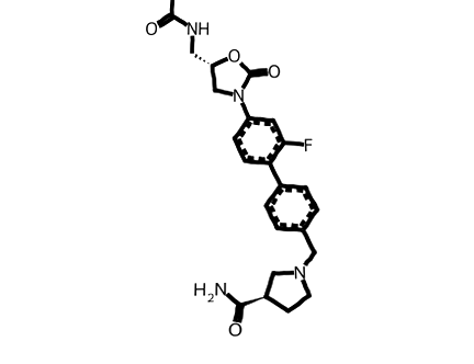 CC(=O)NC[C@H]1CN(c2ccc(-c3ccc(CN4CC[C@@H](C(N)=O)C4)cc3)c(F)c2)C(=O)O1